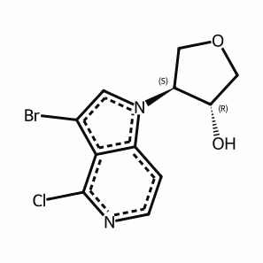 O[C@H]1COC[C@@H]1n1cc(Br)c2c(Cl)nccc21